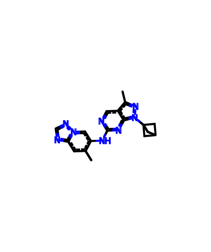 Cc1cc2ncnn2cc1Nc1ncc2c(C)nn(C34CC(C3)C4)c2n1